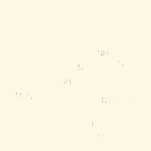 CNCCNc1cc(C2CCCC2)cc(Nc2cc(Nc3ccccc3P(C)(C)=O)c(Cl)cn2)n1